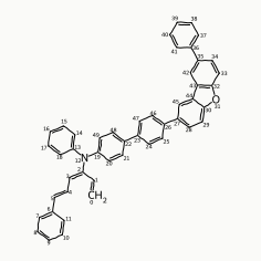 C=C/C(=C\C=C\c1ccccc1)N(c1ccccc1)c1ccc(-c2ccc(-c3ccc4oc5ccc(-c6ccccc6)cc5c4c3)cc2)cc1